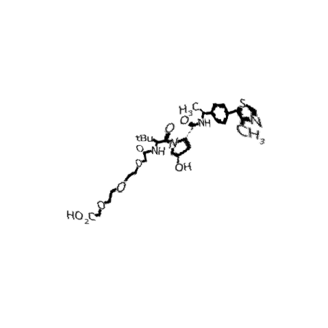 Cc1ncsc1-c1ccc([C@H](C)NC(=O)[C@@H]2C[C@@H](O)CN2C(=O)C(NC(=O)COCCOCCOCC(=O)O)C(C)(C)C)cc1